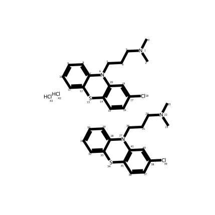 CN(C)CCCN1c2ccccc2Sc2ccc(Cl)cc21.CN(C)CCCN1c2ccccc2Sc2ccc(Cl)cc21.Cl.Cl